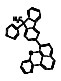 CC1(c2ccccc2)c2ccccc2-c2cc(-c3ccc4cccc5c4c3Oc3ccccc3-5)ccc21